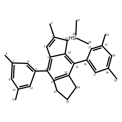 CC1=Cc2c(-c3cc(C)cc(C)c3)c3c(c(-c4cc(C)cc(C)c4)c2C1[SiH](C)C)CCC3